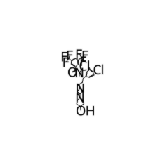 CN(C[C@@H](CCN1CC(N2CCC(O)CC2)C1)c1ccc(Cl)c(Cl)c1)C(=O)c1cc(C(F)(F)F)cc(C(F)(F)F)c1